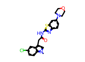 Cn1cc(CC(=O)Nc2nc3ccc(N4CCOCC4)cc3s2)c2cc(Cl)ccc21